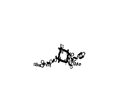 CCC1=C(C)c2cc3[nH]c(cc4nc(c5c6[nH]c(cc1n2)c(C)c6C(=O)N(N(CCN1CCOCC1)C(C)=O)C5=O)[C@@H](CCC(=O)OC)[C@@H]4C)c(C)c3C(C)OCCOCCNC(=O)OC(C)(C)C